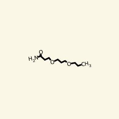 CCCOCCCOCCC(N)=O